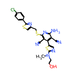 CN(CCO)c1ncc(-c2c(C#N)c(N)nc(SCc3csc(-c4ccc(Cl)cc4)n3)c2C#N)s1